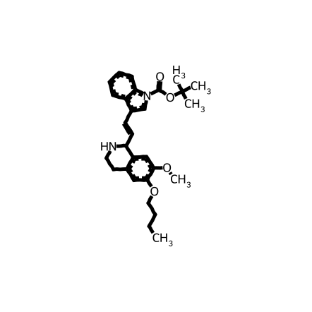 CCCCOc1cc2c(cc1OC)C(/C=C/c1cn(C(=O)OC(C)(C)C)c3ccccc13)NCC2